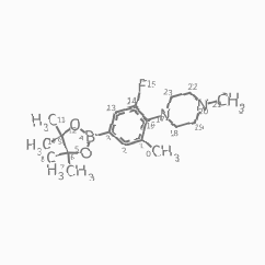 Cc1cc(B2OC(C)(C)C(C)(C)O2)cc(F)c1N1CCN(C)CC1